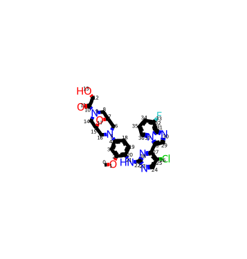 COc1cc(N2CC3CN(C(=O)CO)CC(C2)O3)ccc1Nc1ncc(Cl)c(-c2cnc3c(F)cccn23)n1